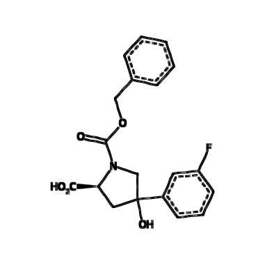 O=C(O)[C@@H]1CC(O)(c2cccc(F)c2)CN1C(=O)OCc1ccccc1